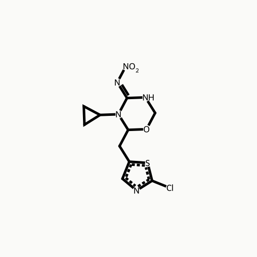 O=[N+]([O-])N=C1NCOC(Cc2cnc(Cl)s2)N1C1CC1